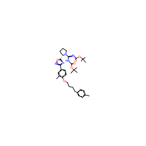 Cc1ccc(CCCCOc2ccc(-c3noc([C@@H]4CCCN4/C(=N/C(=O)OC(C)(C)C)NC(=O)OC(C)(C)C)n3)cc2C)cc1